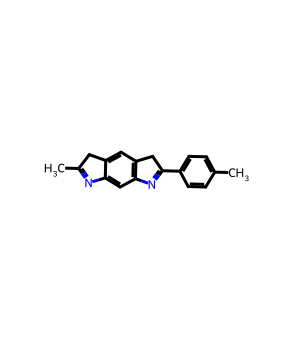 CC1=Nc2cc3c(cc2C1)CC(c1ccc(C)cc1)=N3